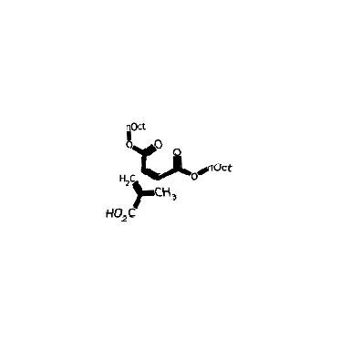 C=C(C)C(=O)O.CCCCCCCCOC(=O)/C=C\C(=O)OCCCCCCCC